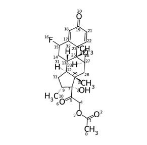 CC(=O)OCC(=O)[C@@]1(O)[C@H](C)C[C@H]2[C@@H]3CC(F)C4=CC(=O)C=C[C@]4(C)[C@@]34O[C@H]4C[C@@]21C